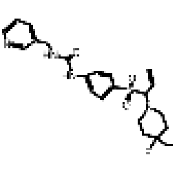 C=CC(N1CCC(F)(F)CC1)S(=O)(=O)c1ccc(NC(=O)NCc2cccnc2)cc1